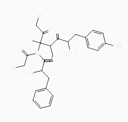 CSCC(C(=O)C(N)Cc1ccc(O)cc1)C(C(=O)O)(C(=O)CN)N(C(=O)CN)C(=O)C(N)Cc1ccccc1